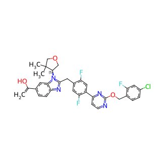 C=C(O)c1ccc2nc(Cc3cc(F)c(-c4ccnc(OCc5ccc(Cl)cc5F)n4)cc3F)n([C@@H]3COCC3(C)C)c2c1